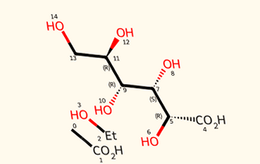 CC(=O)O.CCO.O=C(O)[C@H](O)[C@@H](O)[C@H](O)[C@H](O)CO